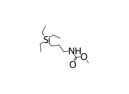 CC[Si](CC)(CC)CCCNC(=O)OC